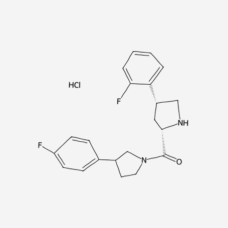 Cl.O=C([C@@H]1C[C@H](c2ccccc2F)CN1)N1CCC(c2ccc(F)cc2)C1